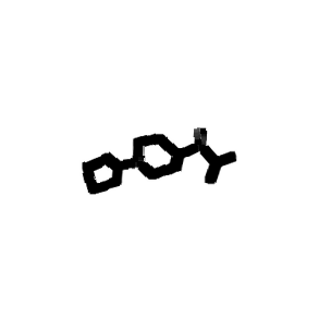 CC(C)NC1CCN(C2CCCC2)CC1